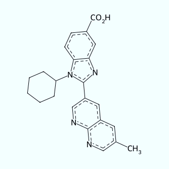 Cc1cnc2ncc(-c3nc4cc(C(=O)O)ccc4n3C3CCCCC3)cc2c1